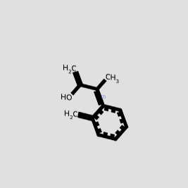 C=C(O)/C(C)=c1/ccccc1=C